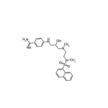 CN(CCN(C)S(=O)(=O)c1cccc2ccccc12)CC(O)CNc1ccc(C(=N)N)cc1